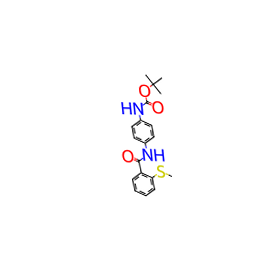 CSc1ccccc1C(=O)Nc1ccc(NC(=O)OC(C)(C)C)cc1